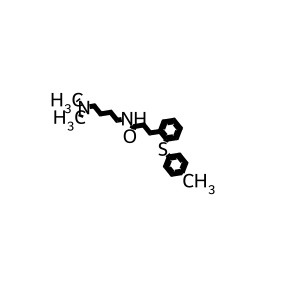 Cc1ccc(Sc2ccccc2CCC(=O)NCCCCN(C)C)cc1